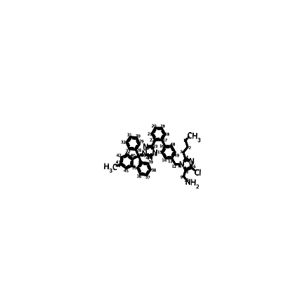 CCCCc1nc(Cl)c(CN)n1Cc1ccc(-c2ccccc2-c2nnn(C(c3ccccc3)(c3ccccc3)c3ccc(C)cc3)n2)cc1